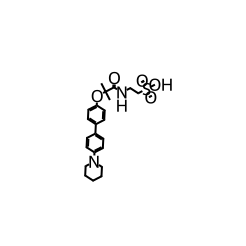 CC(C)(Oc1ccc(-c2ccc(N3CCCCC3)cc2)cc1)C(=O)NCCS(=O)(=O)O